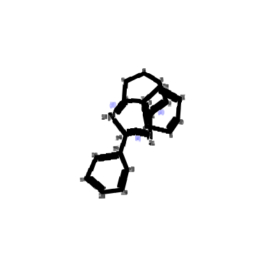 ClC1=C\CCC/C(c2ccccc2)=N/C(c2ccccc2)=N\1